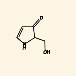 O=C1C=CNC1CO